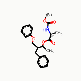 CC(OC(=O)[C@H](C)NC(=O)OC(C)(C)C)C(COc1ccccc1)Cc1ccccc1